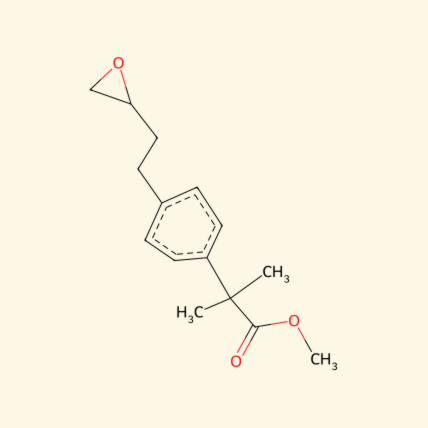 COC(=O)C(C)(C)c1ccc(CCC2CO2)cc1